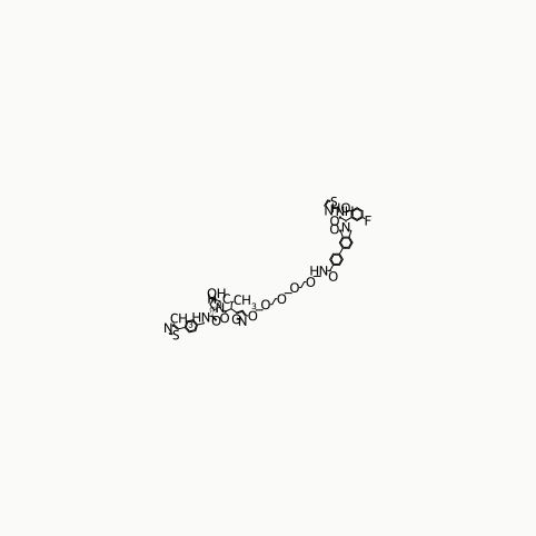 Cc1ncsc1-c1ccc(CNC(=O)[C@@H]2C[C@@H](O)CN2C(=O)C(c2cc(OCCOCCOCCOCCOCCNC(=O)c3ccc(-c4ccc5c(c4)C(=O)N(C(C(=O)Nc4nccs4)c4cc(F)ccc4O)C5)cc3)no2)C(C)C)cc1